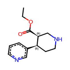 CCOC(=O)[C@H]1CNCC[C@H]1c1cccnc1